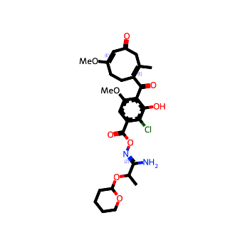 CO/C1=C/C(=O)C/C(C)=C(/C(=O)c2c(OC)cc(C(=O)O/N=C(\N)C(C)OC3CCCCO3)c(Cl)c2O)CC1